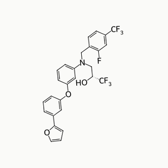 O[C@H](CN(Cc1ccc(C(F)(F)F)cc1F)c1cccc(Oc2cccc(-c3ccco3)c2)c1)C(F)(F)F